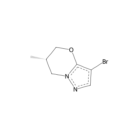 C[C@@H]1COc2c(Br)cnn2C1